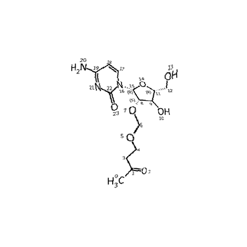 CC(=O)CCOCO[C@H]1C(O)[C@@H](CO)O[C@H]1n1ccc(N)nc1=O